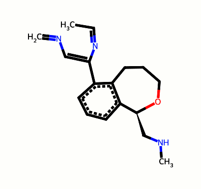 C=N/C=C(\N=C/C)c1cccc2c1CCCO[C@H]2CNC